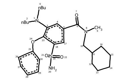 CCCCN(CCCC)c1cc(C(=O)N(C)CC2CCCCC2)cc(S(N)(=O)=O)c1Oc1ccccc1